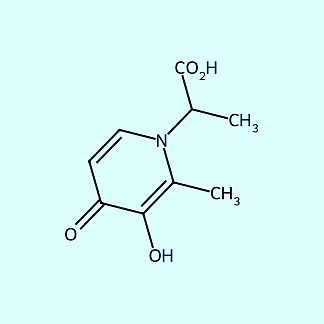 Cc1c(O)c(=O)ccn1C(C)C(=O)O